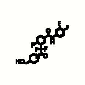 O=C(Nc1ccc(F)c(F)c1)c1ccc(F)c(C(F)(F)C(=O)N2CCC(CO)CC2)c1